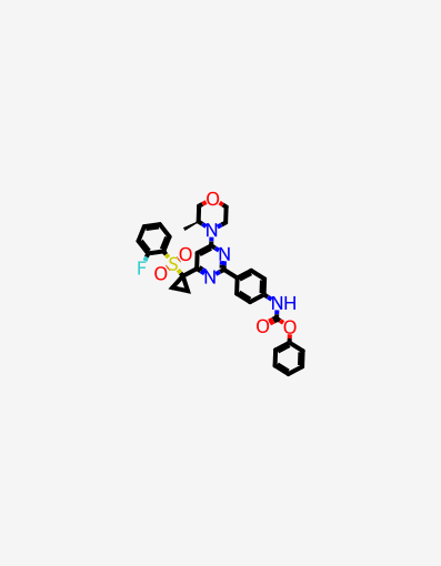 C[C@H]1COCCN1c1cc(C2(S(=O)(=O)c3ccccc3F)CC2)nc(-c2ccc(NC(=O)Oc3ccccc3)cc2)n1